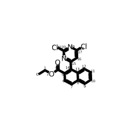 CCOC(=O)c1ccc2ccccc2c1-c1cc(Cl)nc(Cl)n1